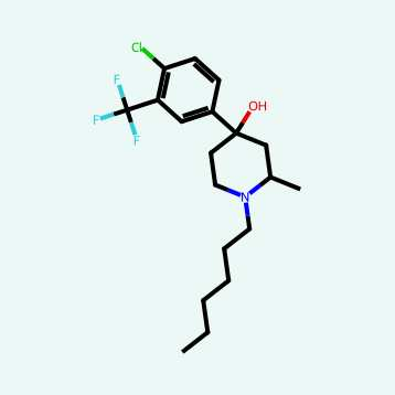 CCCCCCN1CCC(O)(c2ccc(Cl)c(C(F)(F)F)c2)CC1C